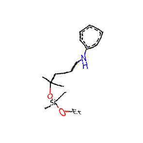 CCO[Si](C)(C)OC(C)(C)CCCNc1ccccc1